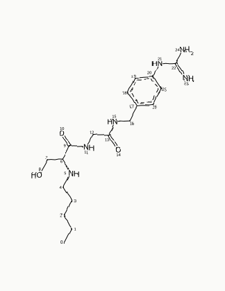 CCCCCNC(CO)C(=O)NCC(=O)NCc1ccc(NC(=N)N)cc1